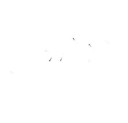 CC([C@H]1CC[C@H]2[C@@H]3CC[C@H]4N(C)C(=O)C=C[C@]4(C)[C@H]3CC[C@]12C)C1(NC=O)Cc2cccc(c2)Nc2cccc(c2)C1